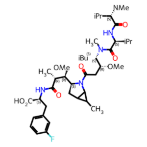 CC[C@H](C)[C@@H]([C@@H](CC(=O)N1C2C(C)C2C[C@H]1[C@H](OC)[C@@H](C)C(=O)N[C@@H](Cc1cccc(F)c1)C(=O)O)OC)N(C)C(=O)[C@@H](NC(=O)[C@@H](NC)C(C)C)C(C)C